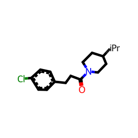 CC(C)C1CCN(C(=O)CCc2ccc(Cl)cc2)CC1